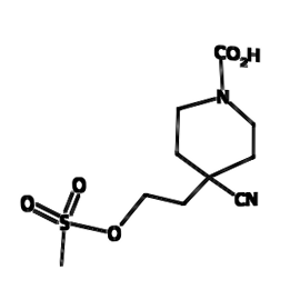 CS(=O)(=O)OCCC1(C#N)CCN(C(=O)O)CC1